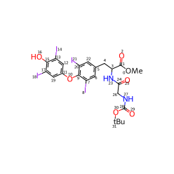 COC(=O)C(Cc1cc(I)c(Oc2cc(I)c(O)c(I)c2)c(I)c1)NC(=O)CNC(=O)OC(C)(C)C